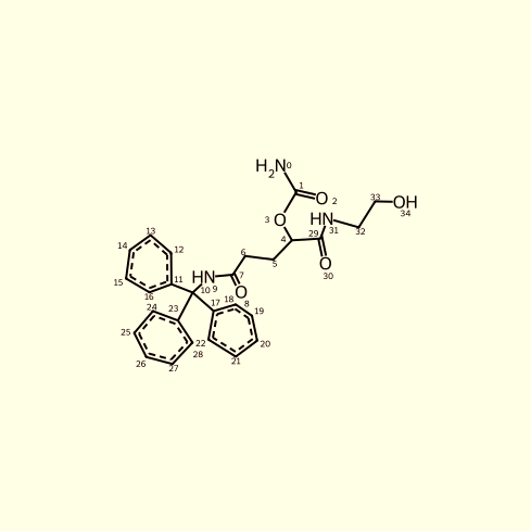 NC(=O)OC(CCC(=O)NC(c1ccccc1)(c1ccccc1)c1ccccc1)C(=O)NCCO